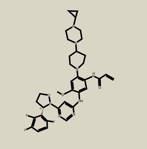 C=CC(=O)Nc1cc(Nc2cc(N3OCC[C@H]3c3c(F)ccc(F)c3F)ncn2)c(OC)cc1N1CCC(N2CCN(C3CC3)CC2)CC1